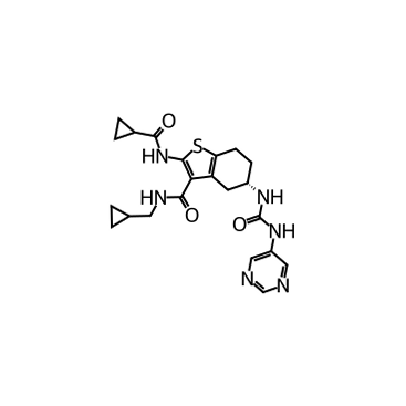 O=C(Nc1cncnc1)N[C@H]1CCc2sc(NC(=O)C3CC3)c(C(=O)NCC3CC3)c2C1